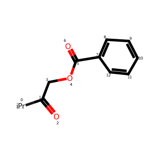 CC(C)C(=O)COC(=O)c1ccccc1